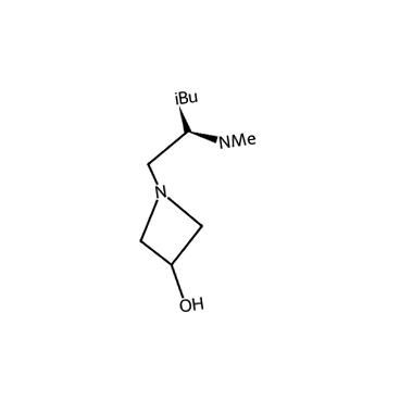 CC[C@H](C)[C@H](CN1CC(O)C1)NC